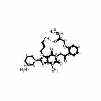 CC=CCn1c(N2CCC[C@@H](N)C2)nc2c1c(=O)n(CC(=O)c1ccccc1OCC(=O)NC)c(=O)n2C